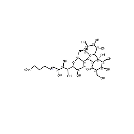 CCCCCCCCCCCCC/C=C/[C@@H](O)[C@@H](N)C(O)C1O[C@H](CO)[C@@H](O[C@@H]2O[C@H](CO)[C@H](O)[C@H](O)[C@]2(O)C2O[C@@H](C)[C@@H](O)[C@@H](O)[C@@H]2O)[C@H](O)[C@H]1O